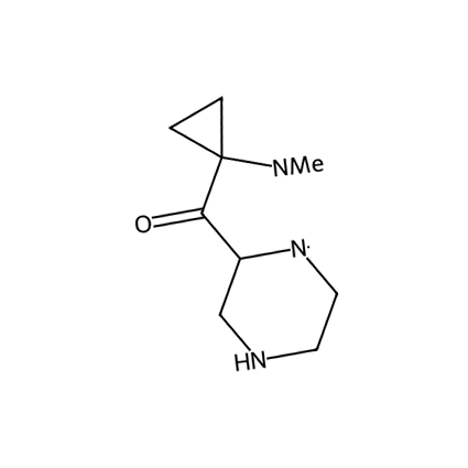 CNC1(C(=O)C2CNCC[N]2)CC1